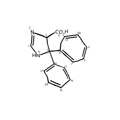 O=C(O)C1N=CNC1(c1ccccc1)c1ccccc1